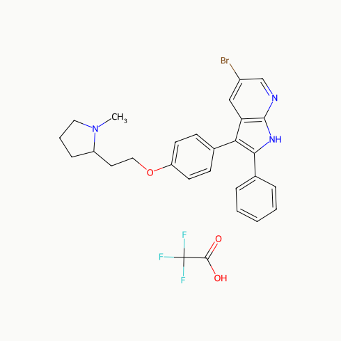 CN1CCCC1CCOc1ccc(-c2c(-c3ccccc3)[nH]c3ncc(Br)cc23)cc1.O=C(O)C(F)(F)F